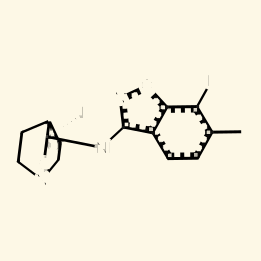 Cc1ccc2c(N[C@H]3CN4CCC3CC4)noc2c1F